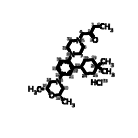 CCC(=O)CN1CCN(c2ccc(N3C[C@@H](C)O[C@@H](C)C3)cc2C2CCC(C)(C)CC2)CC1.Cl